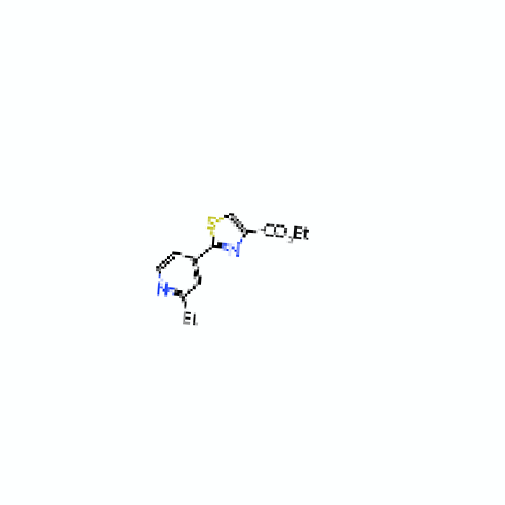 CCOC(=O)c1csc(-c2ccnc(CC)c2)n1